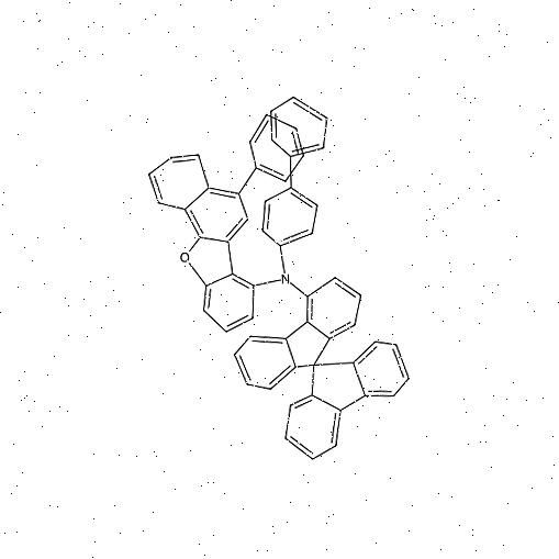 c1ccc(-c2ccc(N(c3cccc4c3-c3ccccc3C43c4ccccc4-c4ccccc43)c3cccc4oc5c6ccccc6c(-c6ccccc6)cc5c34)cc2)cc1